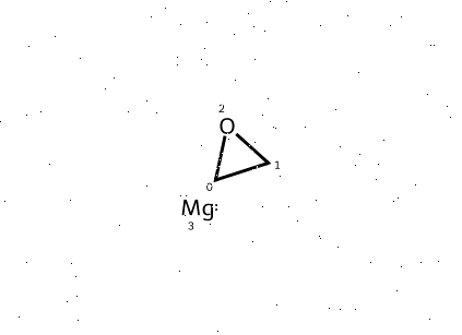 C1CO1.[Mg]